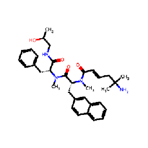 CC(O)CNC(=O)[C@@H](Cc1ccccc1)N(C)C(=O)[C@@H](Cc1ccc2ccccc2c1)N(C)C(=O)/C=C/CC(C)(C)N